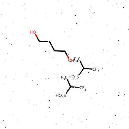 O=S(=O)(O)C(C(F)(F)F)C(F)(F)F.O=S(=O)(O)C(C(F)(F)F)C(F)(F)F.OCCCCO